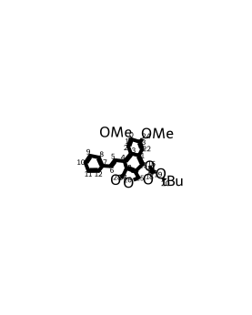 COc1cc2c(/C=C/c3ccccc3)c3c(c(OC(=O)OC(C)(C)C)c2cc1OC)COC3=O